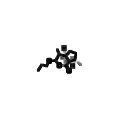 CCCOC1OC(=O)[C@H]2[C@H](CC[C@@H]2C)C1C